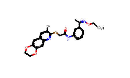 C/C(=N/OCC(=O)O)c1cccc(NC(=O)CSc2nc3cc4c(cc3cc2C#N)OCCO4)c1